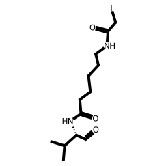 CC(C)[C@@H]([C]=O)NC(=O)CCCCCNC(=O)CI